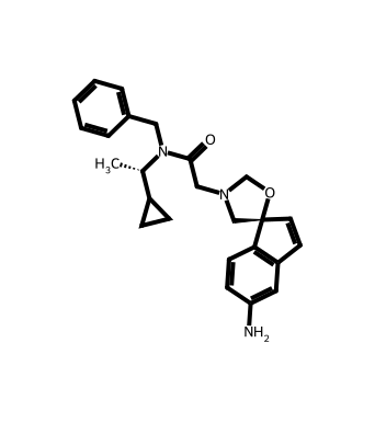 C[C@@H](C1CC1)N(Cc1ccccc1)C(=O)CN1CO[C@@]2(C=Cc3cc(N)ccc32)C1